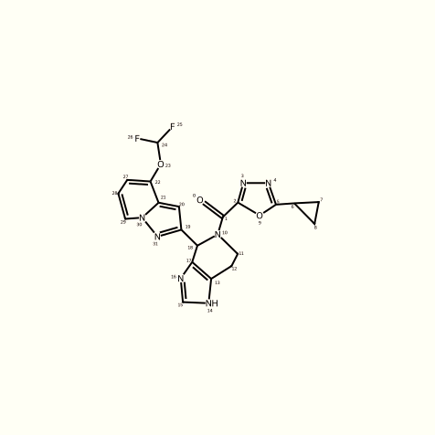 O=C(c1nnc(C2CC2)o1)N1CCc2[nH]cnc2C1c1cc2c(OC(F)F)cccn2n1